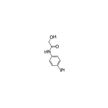 CC(C)c1ccc(NC(=O)CO)cc1